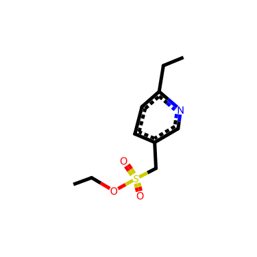 CCOS(=O)(=O)Cc1ccc(CC)nc1